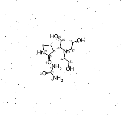 NC(N)=O.O=C1CCCN1.OCCN(CCO)CCO